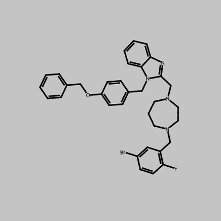 Fc1ccc(Br)cc1CN1CCCN(Cc2nc3ccccc3n2Cc2ccc(OCc3ccccc3)cc2)CC1